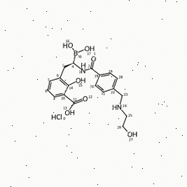 Cl.O=C(N[C@@H](Cc1cccc(C(=O)O)c1O)B(O)O)c1ccc(CNCCO)cc1